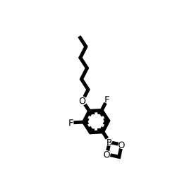 CCCCCCOc1c(F)cc(B2OCO2)cc1F